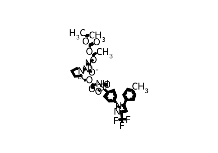 Cc1ccc(-c2cc(C(F)(F)F)nn2-c2ccc(S(=O)(=O)NC(=O)OC[C@@H]3CCCN3[N+]([O-])=NOC(C)OC(=O)OC(C)C)cc2)cc1